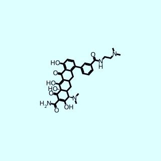 CN(C)CCNC(=O)c1cccc(-c2ccc(O)c3c2CC2CC4[C@@H](N(C)C)C(O)=C(C(N)=O)C(=O)[C@@]4(O)C(O)=C2C3=O)c1